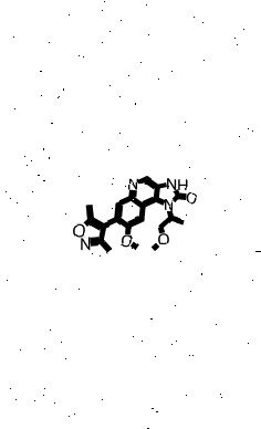 COCC(C)n1c(=O)[nH]c2cnc3cc(-c4c(C)noc4C)c(OC)cc3c21